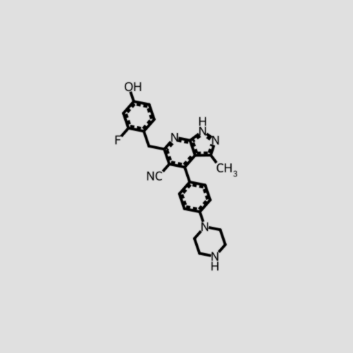 Cc1n[nH]c2nc(Cc3ccc(O)cc3F)c(C#N)c(-c3ccc(N4CCNCC4)cc3)c12